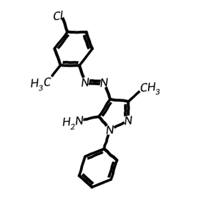 Cc1cc(Cl)ccc1N=Nc1c(C)nn(-c2ccccc2)c1N